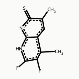 Cc1c2cc(C)c(=S)nc-2[nH]c(F)c1F